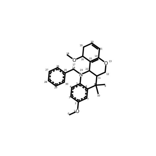 COc1ccc2c(c1)C(C)(C)C1COC3=C(C(OC)CC=C3)C1N2Cc1ccccc1